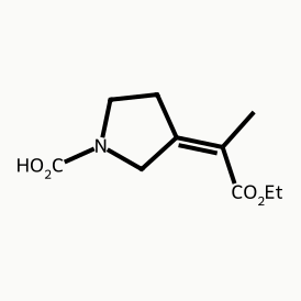 CCOC(=O)C(C)=C1CCN(C(=O)O)C1